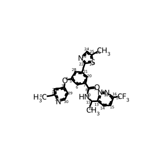 Cc1cc(Oc2cc(C(=O)NC(C)c3ccc(C(F)(F)F)nn3)cc(-c3ncc(C)s3)c2)ccn1